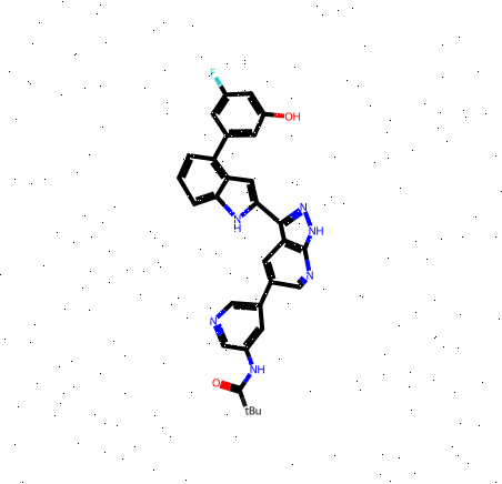 CC(C)(C)C(=O)Nc1cncc(-c2cnc3[nH]nc(-c4cc5c(-c6cc(O)cc(F)c6)cccc5[nH]4)c3c2)c1